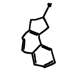 BrC1Cc2ccc3ccccc3c2C1